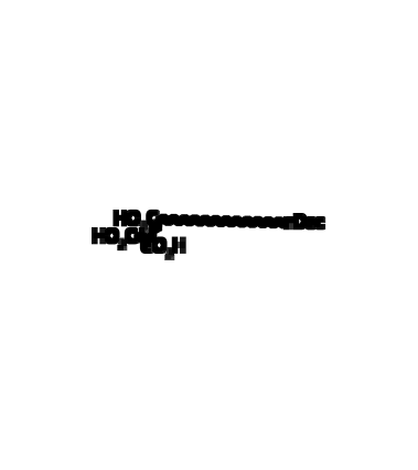 CCCCCCCCCCCCCCCCCCCCCCCCCCCCCCCCCCC(CCCC(CCC(=O)O)C(=O)O)C(=O)O